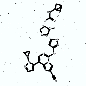 N#Cc1cn2c(Nc3cc([C@@H]4OC[C@H](OC(=O)NC56CC(C5)C6)[C@H]4F)[nH]n3)ncc(-c3ccnn3C3CC3)c2n1